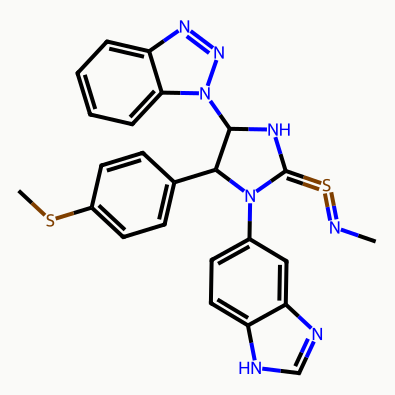 CN=S=C1NC(n2nnc3ccccc32)C(c2ccc(SC)cc2)N1c1ccc2[nH]cnc2c1